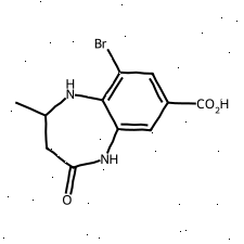 CC1CC(=O)Nc2cc(C(=O)O)cc(Br)c2N1